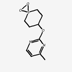 Cc1[c]cnc(OC2CCS3(CC2)OO3)n1